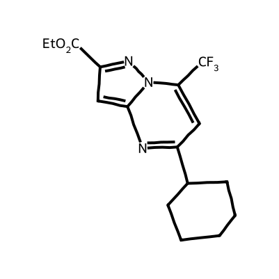 CCOC(=O)c1cc2nc(C3CCCCC3)cc(C(F)(F)F)n2n1